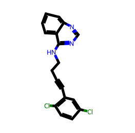 Clc1ccc(Cl)c(C#CCCNc2ncnc3ccccc23)c1